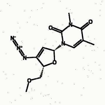 COC[C@H]1O[C@@H](n2cc(C)c(=O)n(C)c2=O)C=C1N=[N+]=[N-]